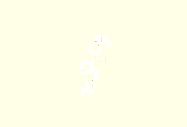 CN1CCC(Nc2cccc3c2ccn3CC(F)(F)F)C1